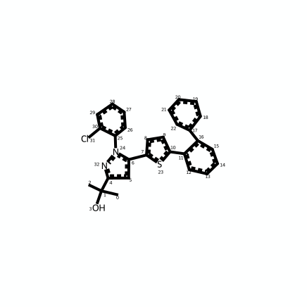 CC(C)(O)c1cc(-c2ccc(-c3ccccc3-c3ccccc3)s2)n(-c2ccccc2Cl)n1